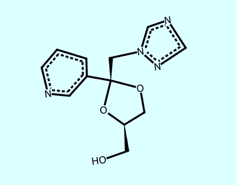 OC[C@@H]1CO[C@@](Cn2cncn2)(c2cccnc2)O1